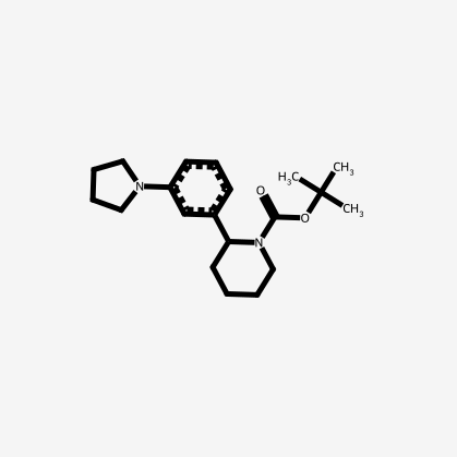 CC(C)(C)OC(=O)N1CCCCC1c1cccc(N2CCCC2)c1